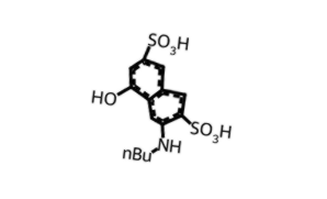 CCCCNc1cc2c(O)cc(S(=O)(=O)O)cc2cc1S(=O)(=O)O